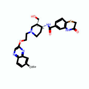 COc1ccc2ncc(OCCN3CC[C@@H](NC(=O)c4ccc5c(c4)NC(=O)CS5)[C@@H](CO)C3)nc2c1